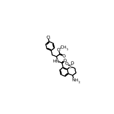 COC(=O)C(Cc1ccc(Cl)cc1)NC(=O)c1cccc2c1S(=O)(=O)CCC2N